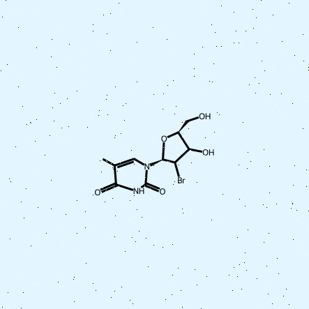 Cc1cn([C@H]2O[C@@H](CO)C(O)C2Br)c(=O)[nH]c1=O